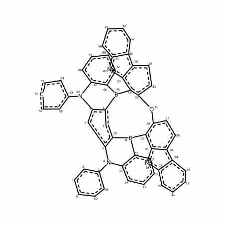 c1ccc(N2c3cc4c5cc3B3c6c2cccc6-n2c6ccccc6c6ccc(c3c62)Oc2ccc3c6ccccc6n6c3c2B5c2c(cccc2-6)N4c2ccccc2)cc1